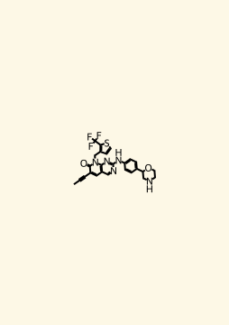 CC#Cc1cc2cnc(Nc3ccc(C4CNCCO4)cc3)nc2n(Cc2ccsc2C(F)(F)F)c1=O